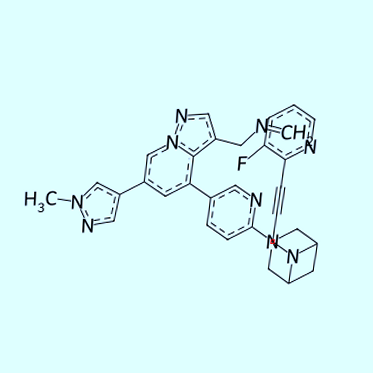 C=NCc1cnn2cc(-c3cnn(C)c3)cc(-c3ccc(N4CC5CC(C4)N5CC#Cc4ncccc4F)nc3)c12